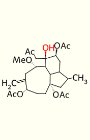 C=C1C[C@H](OC)C2C3C(C[C@H](OC(C)=O)[C@@]2(O)CC(C)=O)C(C)C[C@@]3(OC(C)=O)CC[C@@H]1OC(C)=O